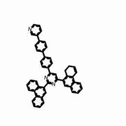 C1=Cc2c(c(-c3cc(-c4ccc(-c5ccc(-c6cccnc6)cc5)cc4)nc(-c4cc5ccccc5c5ccccc45)n3)cc3ccccc23)CC1